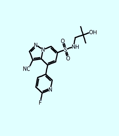 CC(C)(O)CNS(=O)(=O)c1cc(-c2ccc(F)nc2)c2c(C#N)cnn2c1